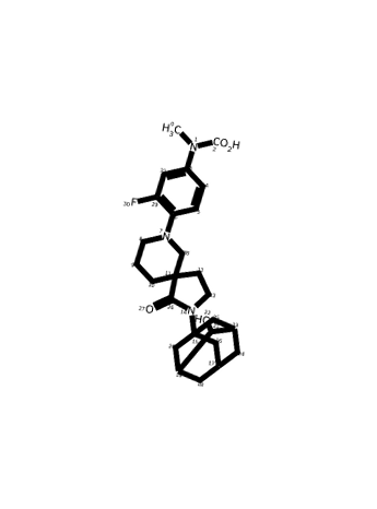 CN(C(=O)O)c1ccc(N2CCCC3(CCN(C45CC6CC(C4)C(O)C(C6)C5)C3=O)C2)c(F)c1